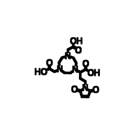 O=C(O)CN1CCN(CC(=O)O)CCN(C(CCN2C(=O)C=CC2=O)C(=O)O)CC1